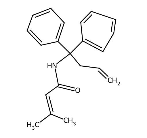 C=CCC(NC(=O)C=C(C)C)(c1ccccc1)c1ccccc1